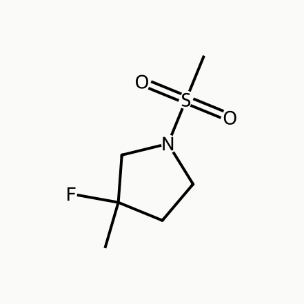 CC1(F)CCN(S(C)(=O)=O)C1